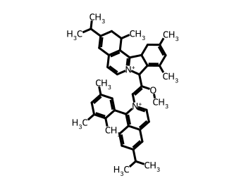 CO/C(=C\[n+]1ccc2cc(C(C)C)ccc2c1-c1cc(C)cc(C)c1C)C1C2=C(C)C=C(C)CC2c2c3c(cc[n+]21)C=C(C(C)C)CC3C